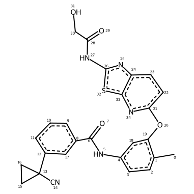 Cc1ccc(NC(=O)c2cccc(C3(C#N)CC3)c2)cc1Oc1ccc2nc(NC(=O)CO)sc2n1